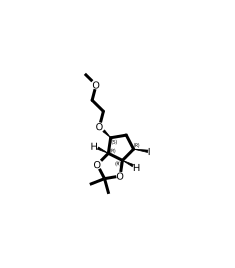 COCCO[C@H]1C[C@@H](I)[C@@H]2OC(C)(C)O[C@@H]21